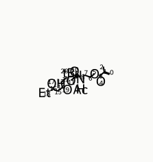 C=C(C)C(=O)OCCNC(=O)OC(CC(CC(O)CC)OC(C)=O)C(C)(C)C